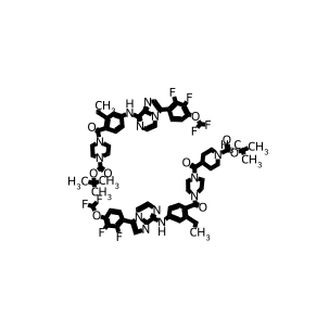 CCc1cc(Nc2nccn3c(-c4ccc(OC(F)F)c(F)c4F)cnc23)ccc1C(=O)N1CCN(C(=O)C2CCN(C(=O)OC(C)(C)C)CC2)CC1.CCc1cc(Nc2nccn3c(-c4ccc(OC(F)F)c(F)c4F)cnc23)ccc1C(=O)N1CCN(C(=O)OC(C)(C)C)CC1